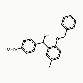 COc1ccc(C(O)c2cc(C)ccc2OCc2ccccc2)cc1